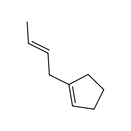 CC=CCC1=CCCC1